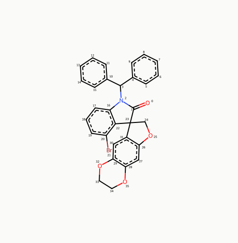 O=C1N(C(c2ccccc2)c2ccccc2)c2cccc(Br)c2C12COc1cc3c(cc12)OCCO3